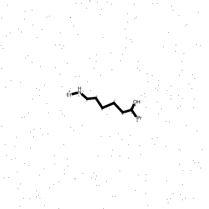 CCNCCCCCC(O)C(C)C